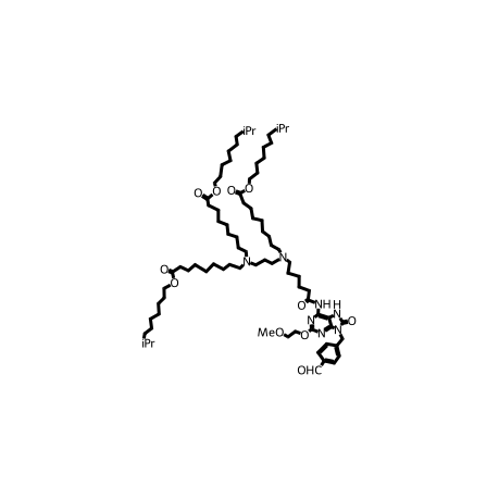 COCCOc1nc(NC(=O)CCCCCN(CCCCCCCCC(=O)OCCCCCCCC(C)C)CCCN(CCCCCCCCC(=O)OCCCCCCCC(C)C)CCCCCCCCC(=O)OCCCCCCCC(C)C)c2[nH]c(=O)n(Cc3ccc(C=O)cc3)c2n1